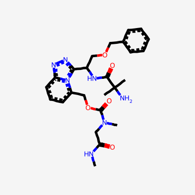 CNC(=O)CN(C)C(=O)OCc1cccc2nnc(C(COCc3ccccc3)NC(=O)C(C)(C)N)n12